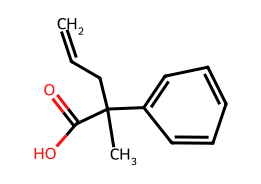 C=CCC(C)(C(=O)O)c1ccccc1